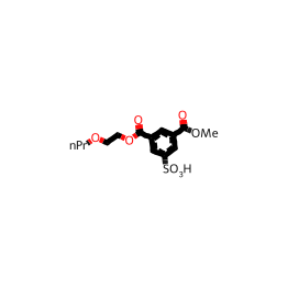 CCCOCCOC(=O)c1cc(C(=O)OC)cc(S(=O)(=O)O)c1